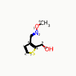 CO/N=C/c1ccsc1CO